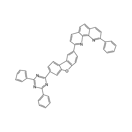 c1ccc(-c2ccc3ccc4ccc(-c5ccc6oc7cc(-c8nc(-c9ccccc9)nc(-c9ccccc9)n8)ccc7c6c5)nc4c3n2)cc1